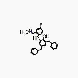 C/N=C/c1cc(F)ccc1Pc1cc(CC2C=CC=CC2)cc(CC2C=CC=CC2)c1O